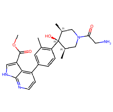 COC(=O)c1c[nH]c2nccc(-c3ccc([C@@]4(O)[C@H](C)CN(C(=O)CN)C[C@@H]4C)c(C)c3)c12